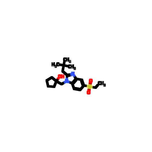 CCS(=O)(=O)c1ccc2c(c1)nc(CC(C)(C)C)n2CC1(O)CCCC1